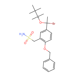 CC(Br)(O[Si](C)(C)C(C)(C)C)c1ccc(OCc2ccccc2)c(CS(N)(=O)=O)c1